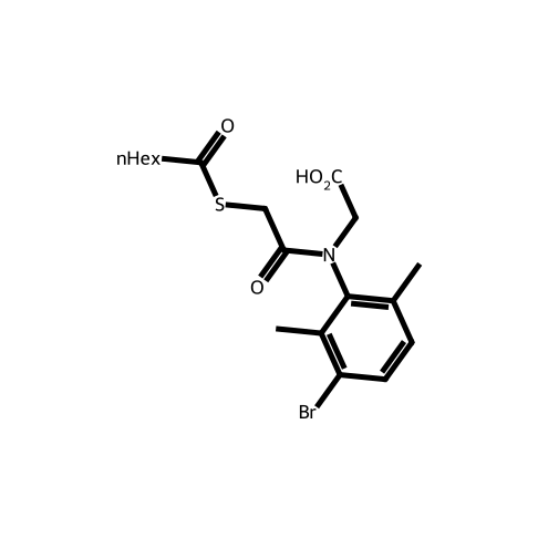 CCCCCCC(=O)SCC(=O)N(CC(=O)O)c1c(C)ccc(Br)c1C